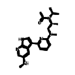 CNc1cnc2[nH]cc(-c3cccc(N(C)C[C@H](C)N(C(C)=O)C(C)C)n3)c2c1